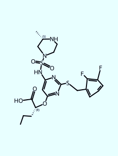 CCC[C@@H](Oc1cc(NS(=O)(=O)N2CCN[C@@H](C)C2)nc(SCc2cccc(F)c2F)n1)C(=O)O